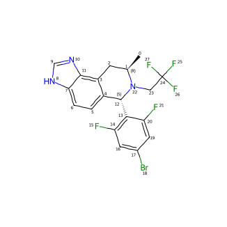 C[C@@H]1Cc2c(ccc3[nH]cnc23)[C@@H](c2c(F)cc(Br)cc2F)N1CC(F)(F)F